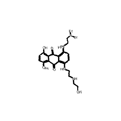 CCN(CC)CCNc1ccc(NCCNCCO)c2c1C(=O)c1c(O)ccc(O)c1C2=O